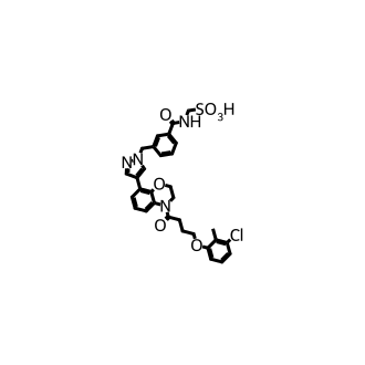 Cc1c(Cl)cccc1OCCCC(=O)N1CCOc2c(-c3cnn(Cc4cccc(C(=O)NCS(=O)(=O)O)c4)c3)cccc21